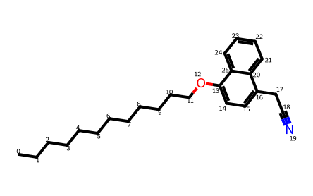 CCCCCCCCCCCCOc1ccc(CC#N)c2ccccc12